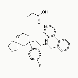 CCC(=O)O.Fc1ccc(C2(CCNCc3ccccc3-c3ccncc3)CCOC3(CCCC3)C2)cc1